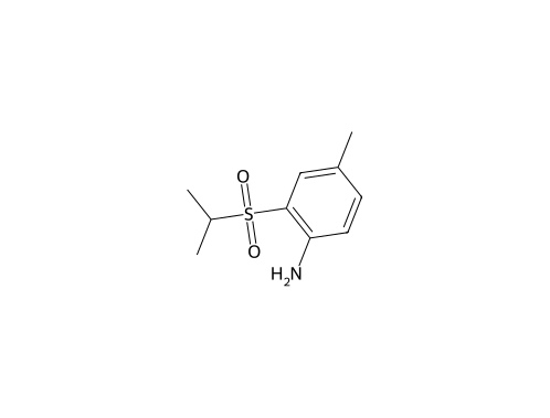 Cc1ccc(N)c(S(=O)(=O)C(C)C)c1